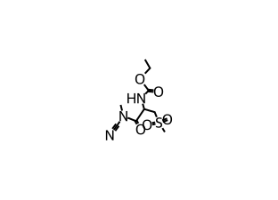 CCOC(=O)NC(CS(C)(=O)=O)C(=O)N(C)C#N